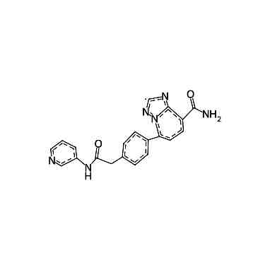 NC(=O)c1ccc(-c2ccc(CC(=O)Nc3cccnc3)cc2)n2n[c]nc12